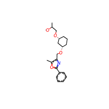 Cc1oc(-c2ccccc2)nc1CO[C@H]1CCC[C@@H](OCC(C)[O])C1